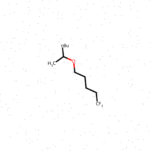 CCCCC(C)OCCC[CH]C(F)(F)F